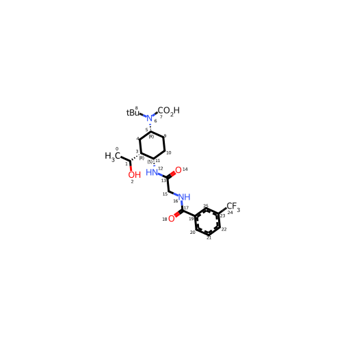 CC(O)[C@@H]1C[C@H](N(C(=O)O)C(C)(C)C)CC[C@@H]1NC(=O)CNC(=O)c1cccc(C(F)(F)F)c1